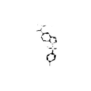 Cc1ccc(S(=O)(=O)n2ccc3cc(C(=O)N(C)C)ccc32)cc1